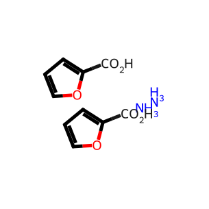 N.N.O=C(O)c1ccco1.O=C(O)c1ccco1